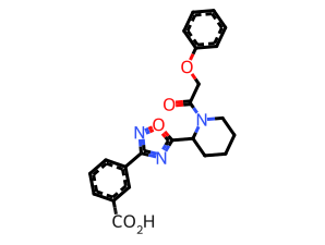 O=C(O)c1cccc(-c2noc(C3CCCCN3C(=O)COc3ccccc3)n2)c1